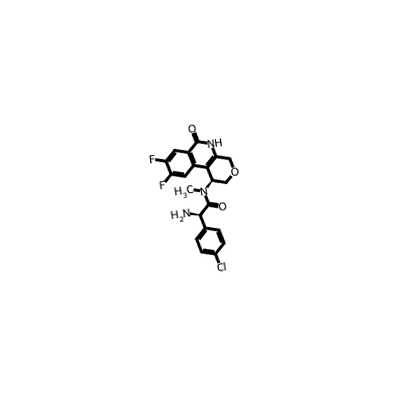 CN(C(=O)[C@H](N)c1ccc(Cl)cc1)[C@@H]1COCc2[nH]c(=O)c3cc(F)c(F)cc3c21